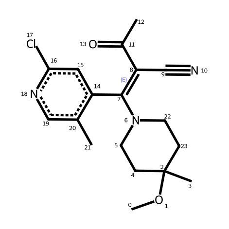 COC1(C)CCN(/C(=C(\C#N)C(C)=O)c2cc(Cl)ncc2C)CC1